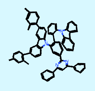 Cc1ccc(-c2ccc3c(c2)c2cc(-c4ccc(C)cc4C)ccc2n3-c2cc(-c3nc(-c4ccccc4)cc(-c4ccccc4)n3)ccc2-c2ccccc2-n2c3ccccc3c3ccccc32)c(C)c1